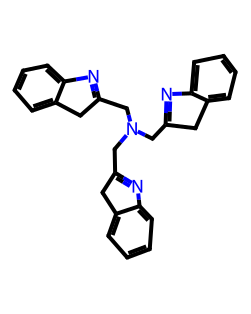 c1ccc2c(c1)CC(CN(CC1=Nc3ccccc3C1)CC1=Nc3ccccc3C1)=N2